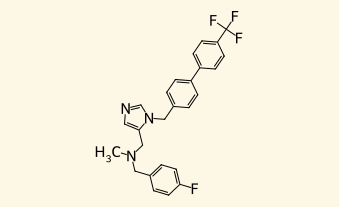 CN(Cc1ccc(F)cc1)Cc1cncn1Cc1ccc(-c2ccc(C(F)(F)F)cc2)cc1